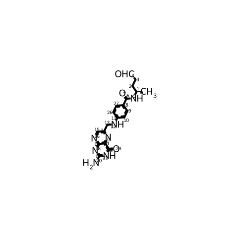 C[C@H](CCC=O)NC(=O)c1ccc(NCc2cnc3nc(N)[nH]c(=O)c3n2)cc1